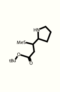 CSC(CC(=O)OC(C)(C)C)C1CCCN1